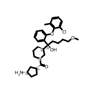 COCCCC[C@@](O)(c1ccccc1Oc1c(C)cccc1Cl)[C@@H]1CCCN(C(=O)[C@@H]2CC[C@H](N)C2)C1